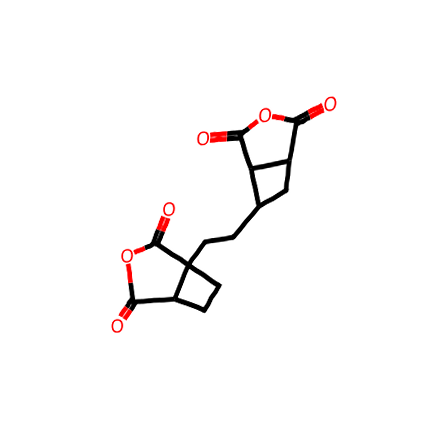 O=C1OC(=O)C2C(CCC34CCC3C(=O)OC4=O)CC12